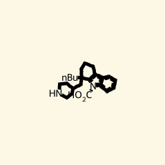 CCCCC1(CC2CCNCC2)CCCc2c1n(C(=O)O)c1ccccc21